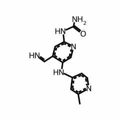 Cc1cc(Nc2cnc(NC(N)=O)cc2C=N)ccn1